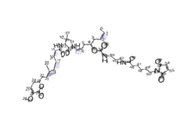 C/C=C\CC(C/C=C\NC(=O)C(NC(=O)\C=C/C=C\C(C)=C\CC1CC=C(OC)C(=O)O1)C(C)(C)C)OC(=O)NCCCNC(=O)CCCCCN1C(=O)C=CC1=O